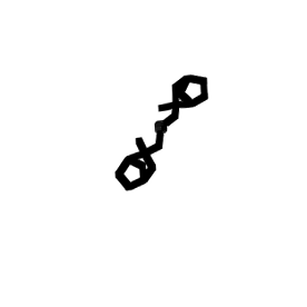 CC1(COCC2(C)CC3CCC2C3)CC2CCC1C2